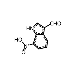 O=Cc1c[nH]c2c([N+](=O)O)cccc12